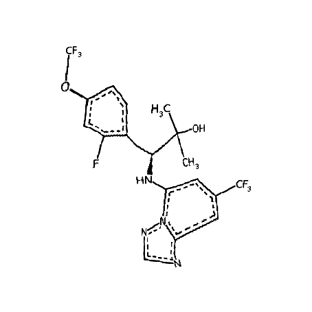 CC(C)(O)[C@@H](Nc1cc(C(F)(F)F)cc2ncnn12)c1ccc(OC(F)(F)F)cc1F